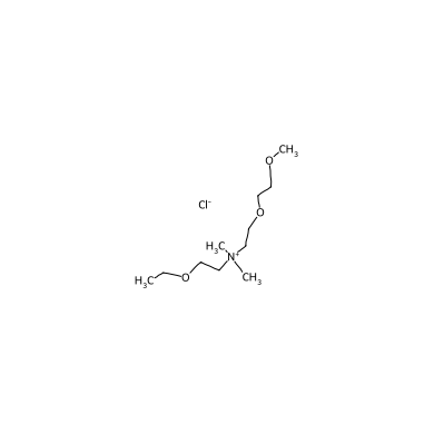 CCOCC[N+](C)(C)CCOCCOC.[Cl-]